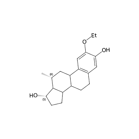 CCOc1cc2c(cc1O)CCC1C2C[C@@H](C)C2C1CC[C@@H]2O